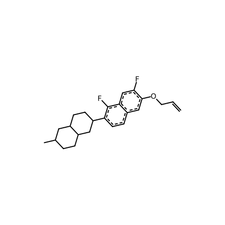 C=CCOc1cc2ccc(C3CCC4CC(C)CCC4C3)c(F)c2cc1F